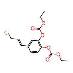 CCOC(=O)Oc1ccc(C=CCCl)cc1OC(=O)OCC